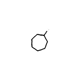 [N]C1CCCCCC1